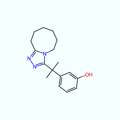 CC(C)(c1cccc(O)c1)c1nnc2n1CCCCCC2